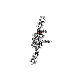 CNC(=O)N1CCSC1(OC(=O)C(=O)OC1(c2ccccc2OCCN2CCN(c3ccccc3)CC2)SCCN1C(=O)NC)c1ccccc1OCCN1CCN(c2ccccc2)CC1